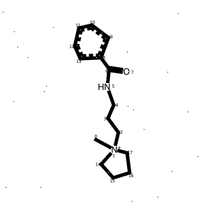 C[N+]1(CCCNC(=O)c2ccccc2)CCCC1